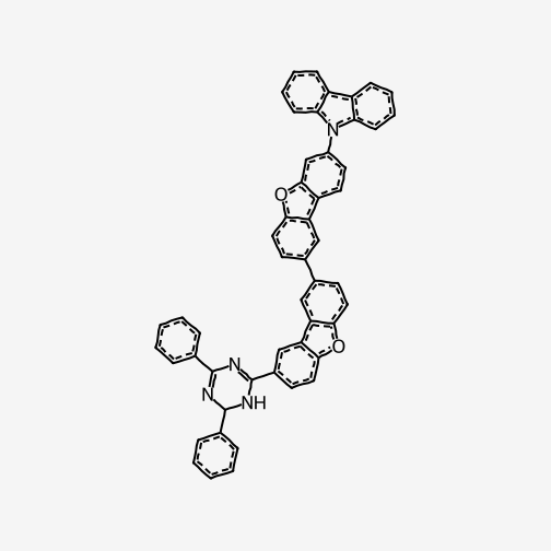 c1ccc(C2=NC(c3ccccc3)NC(c3ccc4oc5ccc(-c6ccc7oc8cc(-n9c%10ccccc%10c%10ccccc%109)ccc8c7c6)cc5c4c3)=N2)cc1